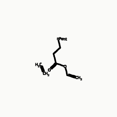 C=C.C=COC(=O)CCCCCCC